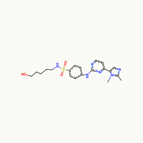 Cc1ncc(-c2ccnc(Nc3ccc(S(=O)(=O)NCCCCCO)cc3)n2)n1C